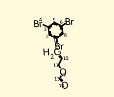 Brc1cc(Br)cc(Br)c1.C=CCOC=O